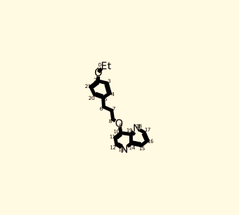 CCOc1ccc(CCCOc2ccnc3cccnc23)cc1